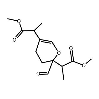 COC(=O)C(C)C1=COC(C=O)(C(C)C(=O)OC)CC1